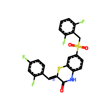 O=C1Nc2ccc(S(=O)(=O)Cc3c(F)cccc3F)cc2S/C1=C\c1ccc(F)cc1F